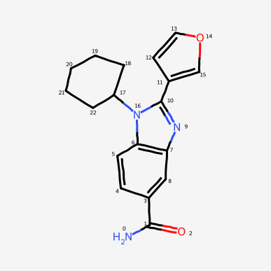 NC(=O)c1ccc2c(c1)nc(-c1ccoc1)n2C1CCCCC1